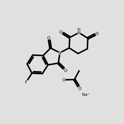 CC(=O)[O-].O=C1CCC(N2C(=O)c3ccc(F)cc3C2=O)C(=O)N1.[Na+]